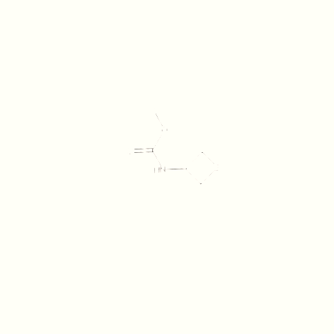 O=C(NC1CSC1)OI